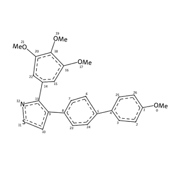 COc1ccc(-c2ccc(-c3csnc3-c3cc(OC)c(OC)c(OC)c3)cc2)cc1